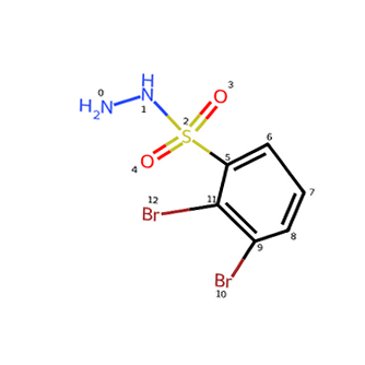 NNS(=O)(=O)c1cccc(Br)c1Br